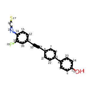 Oc1ccc(-c2ccc(C#Cc3ccc(N=C=S)c(F)c3)cc2)cc1